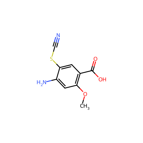 COc1cc(N)c(SC#N)cc1C(=O)O